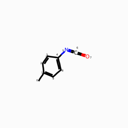 Cc1c[c]c(N=C=O)cc1